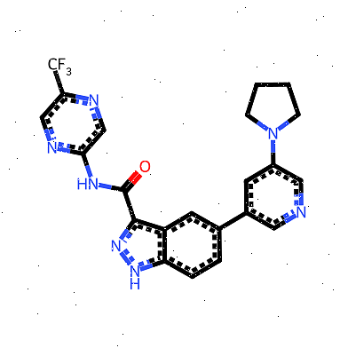 O=C(Nc1cnc(C(F)(F)F)cn1)c1n[nH]c2ccc(-c3cncc(N4CCCC4)c3)cc12